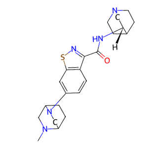 CN1CC2CCC1CN2c1ccc2c(C(=O)N[C@@H]3CN4CCC3CC4)nsc2c1